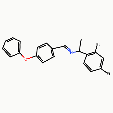 CCc1ccc(C(C)N=Cc2ccc(Oc3ccccc3)cc2)c(CC)c1